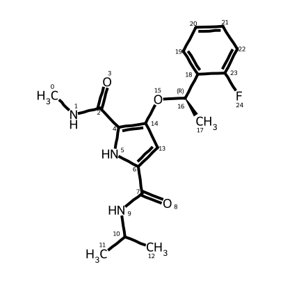 CNC(=O)c1[nH]c(C(=O)NC(C)C)cc1O[C@H](C)c1ccccc1F